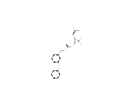 CC(C)=CC1C(OC(=O)OCc2cccc(Oc3ccccc3)c2)C1(C)C